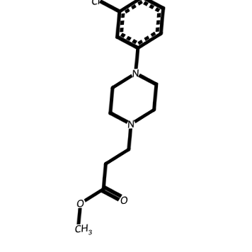 COC(=O)CCN1CCN(c2cccc(Cl)c2)CC1